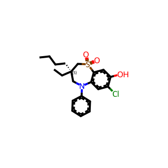 CCCC[C@@]1(CC)CN(c2ccccc2)c2cc(Cl)c(O)cc2S(=O)(=O)C1